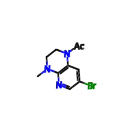 CC(=O)N1CCN(C)c2ncc(Br)cc21